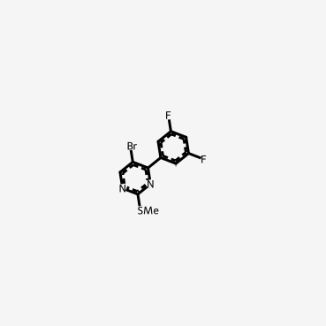 CSc1ncc(Br)c(-c2[c]c(F)cc(F)c2)n1